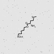 CCCCCCCCCCCCCOC(=O)[C@@H](N)CC[Se]C